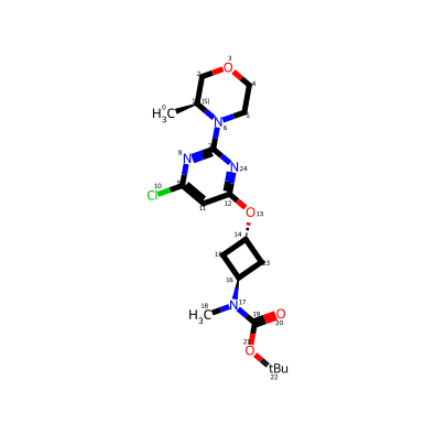 C[C@H]1COCCN1c1nc(Cl)cc(O[C@H]2C[C@H](N(C)C(=O)OC(C)(C)C)C2)n1